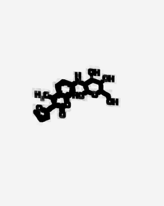 Cc1c(-c2ccco2)c(=O)oc2cc(NC3C(O)OC(CO)[C@H](O)[C@H]3O)ccc12